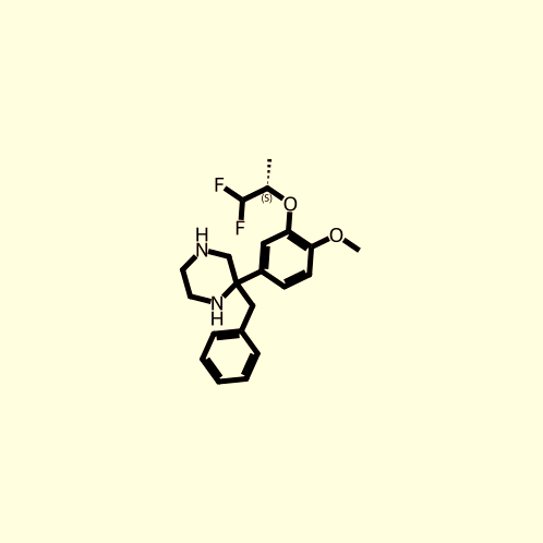 COc1ccc(C2(Cc3ccccc3)CNCCN2)cc1O[C@@H](C)C(F)F